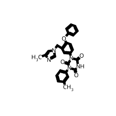 Cc1cccc(-n2c(=O)[nH]c(=O)n(-c3ccc(Oc4ccccc4)c(Cn4cnc(C)c4)c3)c2=O)c1